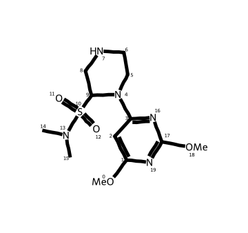 COc1cc(N2CCNCC2S(=O)(=O)N(C)C)nc(OC)n1